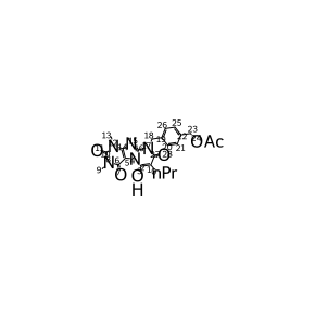 CCCc1c(O)n2c3c(=O)n(C)c(=O)n(C)c3nc2n(Cc2ccc(COC(C)=O)cc2)c1=O